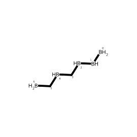 BBBCBCB